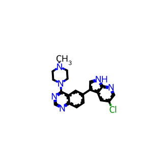 CN1CCN(c2ncnc3ccc(-c4c[nH]c5ncc(Cl)cc45)cc23)CC1